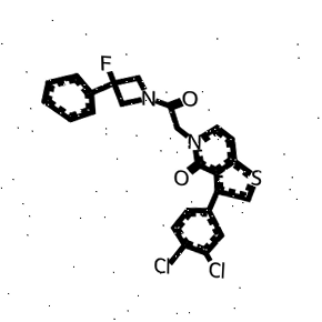 O=C(Cn1ccc2scc(-c3ccc(Cl)c(Cl)c3)c2c1=O)N1CC(F)(c2ccccc2)C1